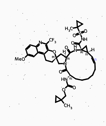 COc1ccc2nc(C(F)(F)F)c3c(c2c1)CC[C@]1(C[C@H]2C(=O)N[C@]4(C(=O)NS(=O)(=O)C5(C)CC5)C[C@H]4/C=C\CCCCC[C@H](NC(=O)OCC4(C)CC4)C(=O)N2C1)O3